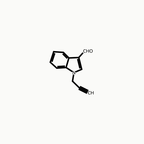 C#CCn1cc(C=O)c2ccccc21